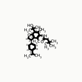 Cc1c(NC(=O)CC(C)(C)C)c(C)c(C(C)(C)O)c2c1[C@@H](c1ccc(C(C)C)cc1)CO2